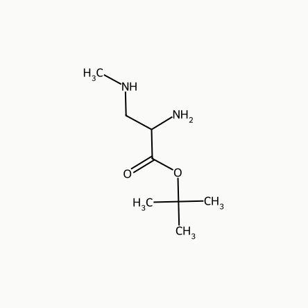 CNCC(N)C(=O)OC(C)(C)C